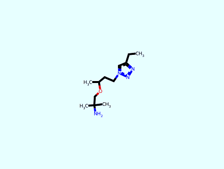 CCc1cn(CCC(C)OCC(C)(C)N)nn1